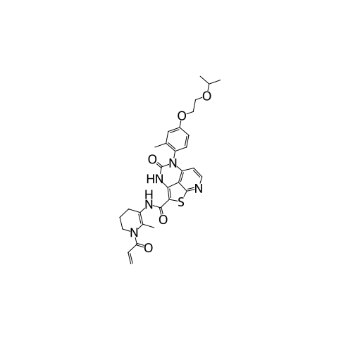 C=CC(=O)N1CCCC(NC(=O)c2sc3nccc4c3c2NC(=O)N4c2ccc(OCCOC(C)C)cc2C)=C1C